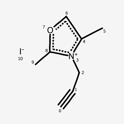 C#CC[n+]1c(C)coc1C.[I-]